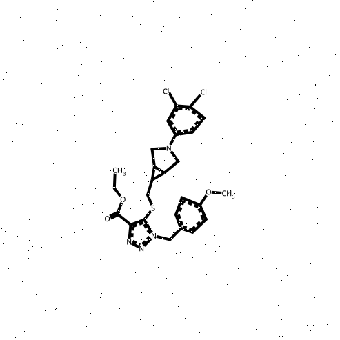 CCOC(=O)c1nnn(Cc2ccc(OC)cc2)c1SCC1C2CN(c3ccc(Cl)c(Cl)c3)CC12